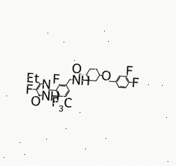 CCc1nc(-c2c(C(F)(F)F)ccc(CNC(=O)[C@H]3CC[C@H](OCc4ccc(F)c(F)c4)CC3)c2F)[nH]c(=O)c1F